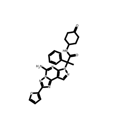 CC(C(=O)NC1CCC(=O)CC1)(c1ccccc1)n1ncc2c1nc(N)n1nc(-c3ccco3)nc21